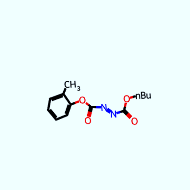 CCCCOC(=O)N=NC(=O)Oc1ccccc1C